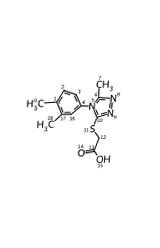 Cc1ccc(-n2c(C)nnc2SCC(=O)O)cc1C